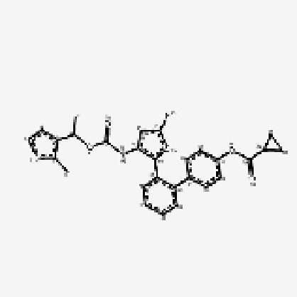 Cc1sccc1C(C)OC(=O)Nc1cc(F)sc1-c1ccccc1-c1ccc(OC(=O)C2CC2)cc1